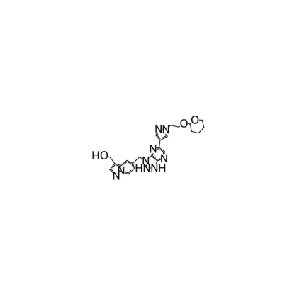 OCc1cnn2ccc(CN3NNc4ncc(-c5cnn(CCOC6CCCCO6)c5)nc43)cc12